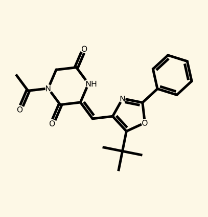 CC(=O)N1CC(=O)NC(=Cc2nc(-c3ccccc3)oc2C(C)(C)C)C1=O